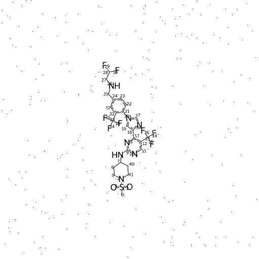 CS(=O)(=O)N1CCC(Nc2ncc(C(F)(F)F)c(-c3cn(-c4ccc(CNCC(F)F)cc4C(F)(F)F)cn3)n2)CC1